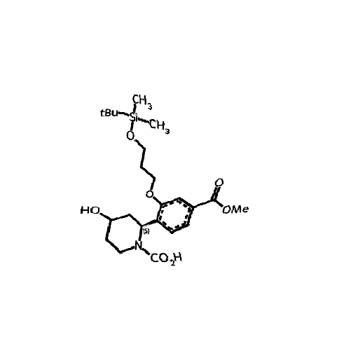 COC(=O)c1ccc([C@@H]2CC(O)CCN2C(=O)O)c(OCCCO[Si](C)(C)C(C)(C)C)c1